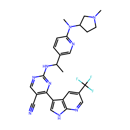 CC(Nc1ncc(C#N)c(-c2c[nH]c3ncc(C(F)(F)F)cc23)n1)c1ccc(N(C)C2CCN(C)C2)nc1